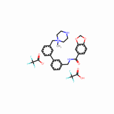 C[N+]1(Cc2cccc(-c3cccc(CNC(=O)c4ccc5c(c4)OCO5)c3)c2)CCNCC1.O=C(O)C(F)(F)F.O=C([O-])C(F)(F)F